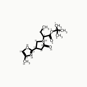 CCC(C(=O)OC(C)(C)C)N1CC(c2nc(C)co2)CC1=O